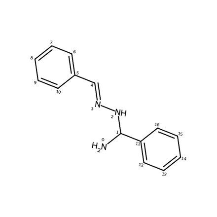 NC(N/N=C/c1ccccc1)c1ccccc1